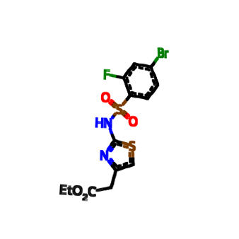 CCOC(=O)Cc1csc(NS(=O)(=O)c2ccc(Br)cc2F)n1